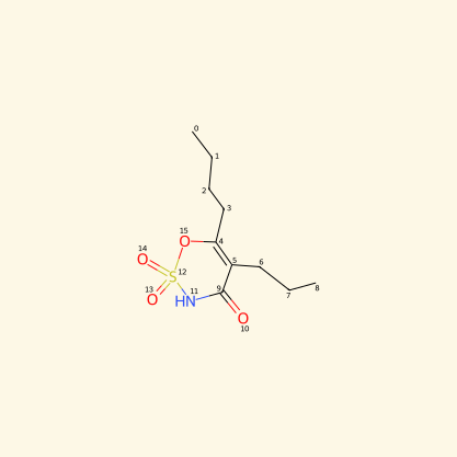 CCCCC1=C(CCC)C(=O)NS(=O)(=O)O1